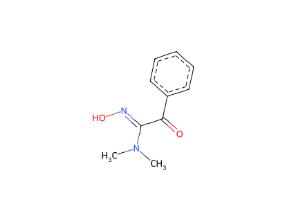 CN(C)C(=NO)C(=O)c1ccccc1